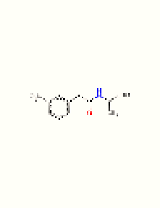 CC(C=O)NC(=O)Cc1cccc([N+](=O)[O-])c1